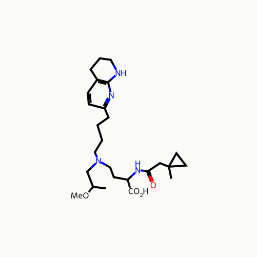 COC(C)CN(CCCCc1ccc2c(n1)NCCC2)CCC(NC(=O)CC1(C)CC1)C(=O)O